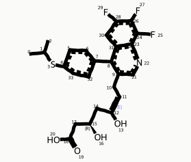 CC(C)Sc1ccc(-c2c(C/C=C(/O)C[C@@H](O)CC(=O)O)cnc3c(F)c(F)c(F)cc23)cc1